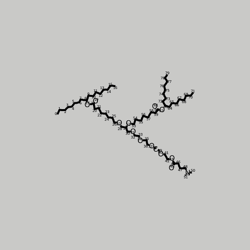 CCCCCCCCC(CCCCCCCC)OC(=O)CCCCCCCOCC(COCCOCCOCCOCCOC(=O)CCCN(C)C)OCCCCCCCC(=O)OC(CCCCCCCC)CCCCCCCC